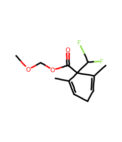 COCOC(=O)C1(C(F)F)C(C)=CCC=C1C